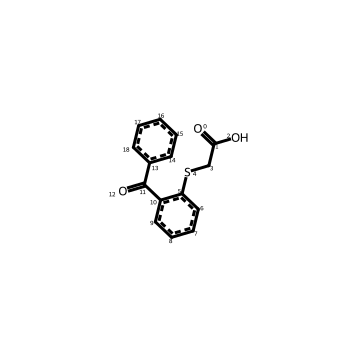 O=C(O)CSc1ccccc1C(=O)c1ccccc1